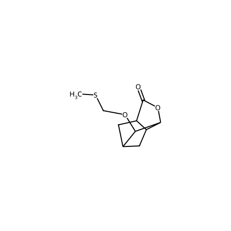 CSCOC1C2CC3C(=O)OC1C3C2